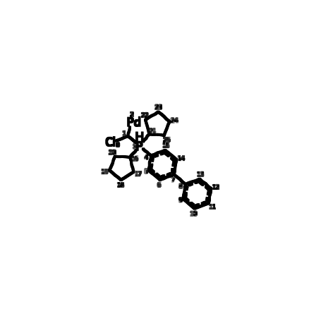 Cl[CH]([Pd])[PH](c1ccc(-c2ccccc2)cc1)(C1CCCC1)C1CCCC1